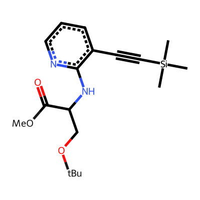 COC(=O)C(COC(C)(C)C)Nc1ncccc1C#C[Si](C)(C)C